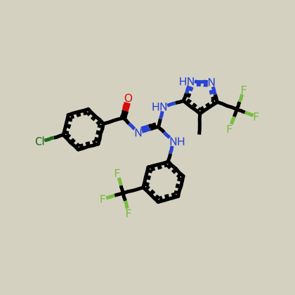 Cc1c(C(F)(F)F)n[nH]c1N/C(=N\C(=O)c1ccc(Cl)cc1)Nc1cccc(C(F)(F)F)c1